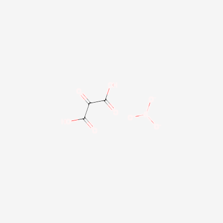 O=C(O)C(=O)C(=O)O.[Li+].[Li+].[Li+].[O-]B([O-])[O-]